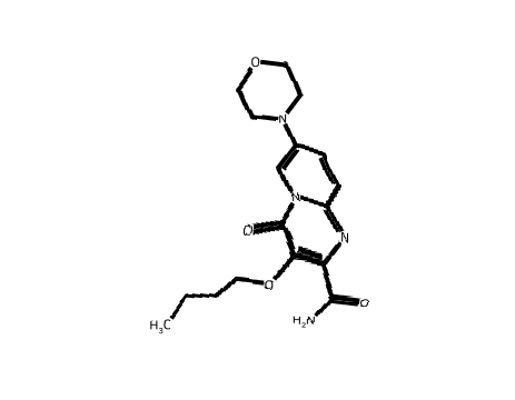 CCCCOc1c(C(N)=O)nc2ccc(N3CCOCC3)cn2c1=O